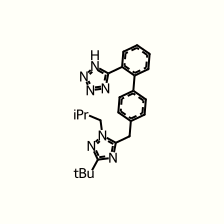 CC(C)Cn1nc(C(C)(C)C)nc1Cc1ccc(-c2ccccc2-c2nnn[nH]2)cc1